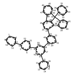 c1ccc(-c2ccc(-c3nc(-c4cccnc4)cc(-c4cccc(-c5ccc6c(c5)C(c5ccccc5)(c5ccccc5)c5ccccc5-6)c4)n3)cc2)cc1